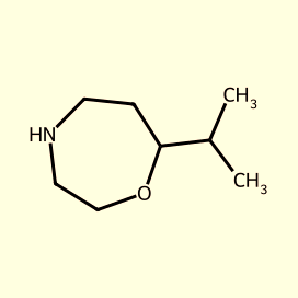 CC(C)C1CCNCCO1